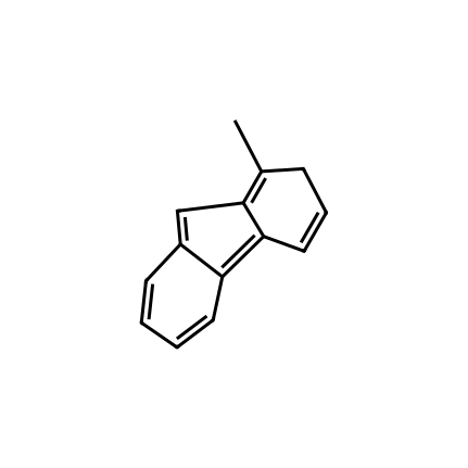 CC1=C2C=c3ccccc3=C2C=CC1